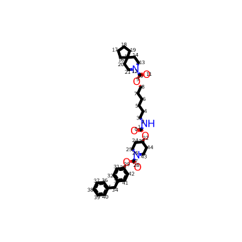 O=C(NCCCCCCOC(=O)N1CCC2(CCCC2)CC1)OC1CCN(C(=O)Oc2ccc(Cc3ccccc3)cc2)CC1